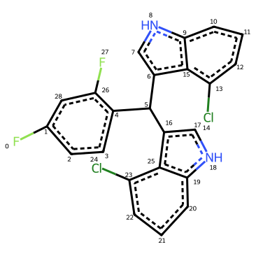 Fc1ccc(C(c2c[nH]c3cccc(Cl)c23)c2c[nH]c3cccc(Cl)c23)c(F)c1